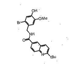 COc1cc(CNC(=O)c2ccc3nc(C(C)(C)C)ccc3c2)c(Br)cc1O